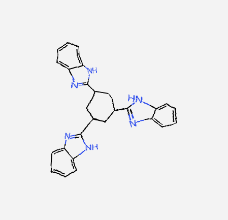 c1ccc2[nH]c(C3CC(c4nc5ccccc5[nH]4)CC(c4nc5ccccc5[nH]4)C3)nc2c1